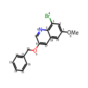 COc1cc(Br)c2ncc(OCc3ccccc3)cc2c1